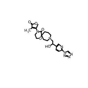 CC1=C(N2CCOC3(CCCN(CC(O)c4ccc(-n5cnnn5)nc4)CC3)C2=O)COC1=O